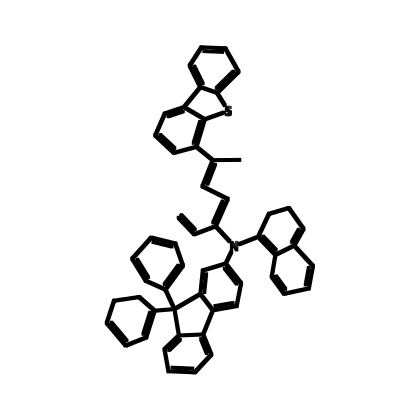 C=C/C(=C\C=C(/C)c1cccc2c1sc1ccccc12)N(C1=c2ccccc2=CCC1)c1ccc2c(c1)C(C1=CC=CCC1)(c1ccccc1)c1ccccc1-2